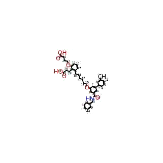 Cc1cccc(-c2cc(OCCCCCCc3cccc(OCCCC(=O)O)c3CCC(=O)O)cc(C(=O)NCc3ccccc3)c2)c1